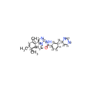 Cc1cc(C)c(-c2cnc(NC(=O)c3cccc(Cc4ccncn4)c3)n2C)cc1C